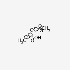 CC1Cc2c(cc(Oc3ccc(S(C)(=O)=O)cc3)cc2C(=O)O)O1